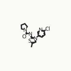 Cc1cn(-c2ccc(Cl)nc2)/c(=N/C(=O)N2CCCC2)s1